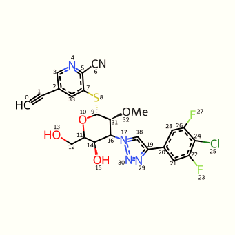 C#Cc1cnc(C#N)c(S[C@H]2OC(CO)[C@H](O)C(n3cc(-c4cc(F)c(Cl)c(F)c4)nn3)[C@@H]2OC)c1